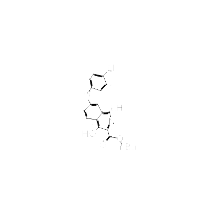 CCCCOC(=O)c1nc(C)c2cc(Oc3ccc(Cl)cc3)ccc2c1O